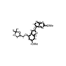 COc1cc(OCC2COC(C)(C)O2)c2cc(-c3cnc4sc(OC)nn34)oc2c1